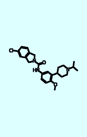 COc1ccc(NC(=O)N2Cc3ccc(Cl)cc3C2)cc1C1CCN(C(C)C)CC1